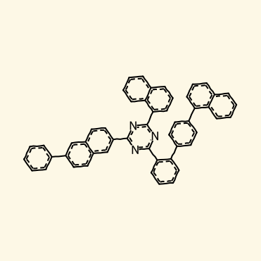 c1ccc(-c2ccc3cc(-c4nc(-c5ccccc5-c5ccc(-c6cccc7ccccc67)cc5)nc(-c5cccc6ccccc56)n4)ccc3c2)cc1